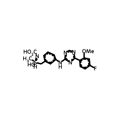 COc1cc(F)ccc1-c1ncnc(Nc2cccc(C[SH](C)(O)=NC(=O)O)c2)n1